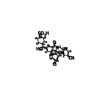 N#Cc1ccc(CN2C(=O)c3cc(C(O)C4CCN(C(=O)O)CC4)cc(F)c3C2(O)c2ccc(Cl)cc2)nc1